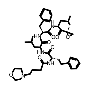 CC(C)CC(NC(=O)[C@H](CCc1ccccc1)NC(=O)CCCN1CCOCC1)C(=O)N[C@@H](Cc1ccccc1)C(=O)NC(CC(C)C)C(=O)[C@@]1(C)CO1